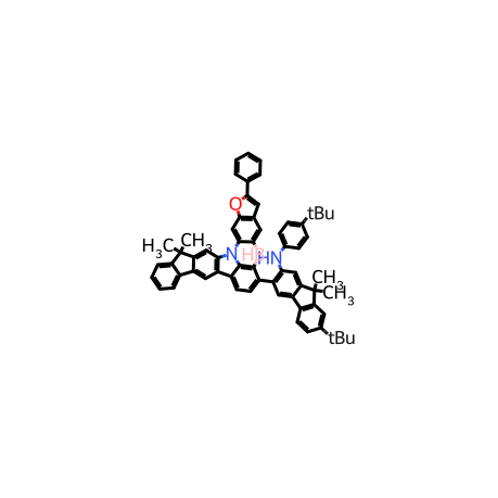 CC(C)(C)c1ccc(Nc2cc3c(cc2-c2ccc4c5cc6c(cc5n5c4c2Bc2cc4cc(-c7ccccc7)oc4cc2-5)C(C)(C)c2ccccc2-6)-c2ccc(C(C)(C)C)cc2C3(C)C)cc1